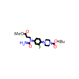 COC(=O)CCN(C(N)=O)c1ccc(N2CCN(C(=O)OC(C)(C)C)CC2)c(F)c1